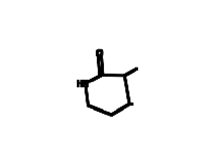 CC1[CH]CCNC1=O